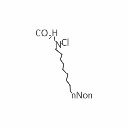 CCCCCCCCCCCCCCCCCCN(Cl)CC(=O)O